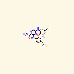 CCc1ccc(Nc2nc(N[C@H](CC(C)C)C(N)=O)cnc2C(N)=O)cn1